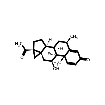 CC(=O)[C@@]12CC[C@H]3[C@H]4C[C@@H](C)C5=CC(=O)C=C[C@]5(C)[C@@]4(F)[C@@H](O)C[C@]31C2